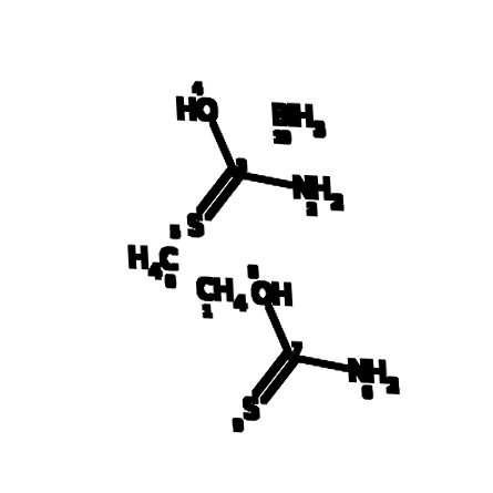 C.C.NC(O)=S.NC(O)=S.[BiH3]